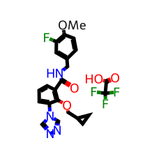 COc1ccc(CNC(=O)c2cccc(-n3cnnc3)c2OCC2CC2)cc1F.O=C(O)C(F)(F)F